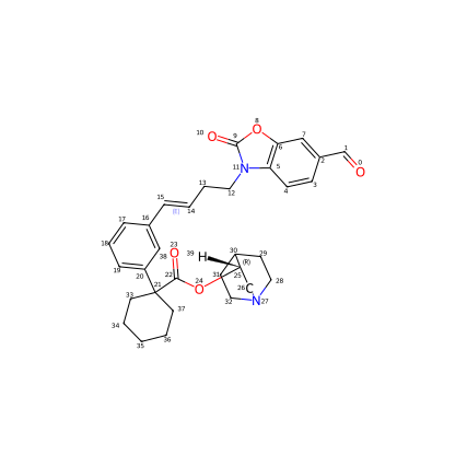 O=Cc1ccc2c(c1)oc(=O)n2CC/C=C/c1cccc(C2(C(=O)O[C@H]3CN4CCC3CC4)CCCCC2)c1